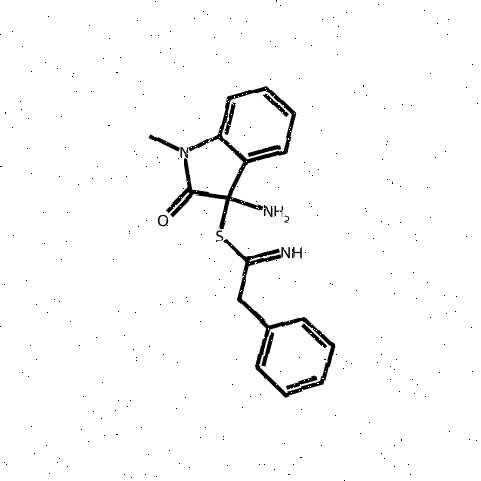 CN1C(=O)C(N)(SC(=N)Cc2ccccc2)c2ccccc21